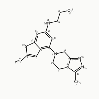 CCCc1cc2c(N3CCn4c(nnc4C(F)(F)F)C3)nc(NCCO)nc2s1